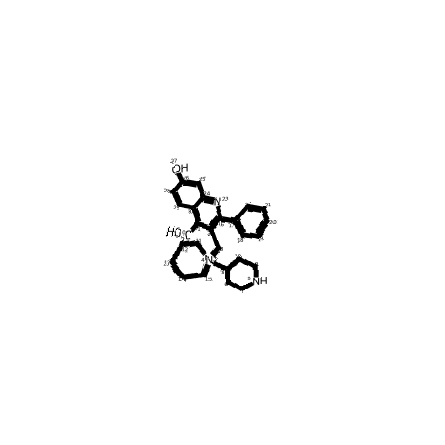 O=C(O)c1c(C[N+]2(C3CCNCC3)CCCCC2)c(-c2ccccc2)nc2cc(O)ccc12